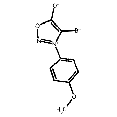 COc1ccc(-[n+]2noc([O-])c2Br)cc1